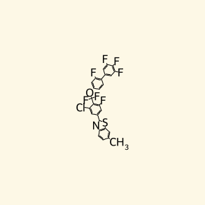 Cc1ccc2nc(-c3cc(F)c(C(F)(F)Oc4ccc(-c5cc(F)c(F)c(F)c5)c(F)c4)c(Cl)c3)sc2c1